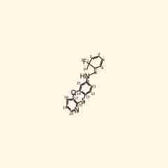 CC1(F)C=CC=CC1CNc1ccc2c(c1)Oc1cccnc1S2